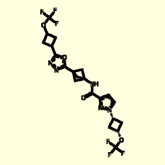 O=C(NC12CC(c3nnc(C4CC(OC(F)(F)F)C4)o3)(C1)C2)c1ccn([C@H]2C[C@@H](OC(F)(F)F)C2)n1